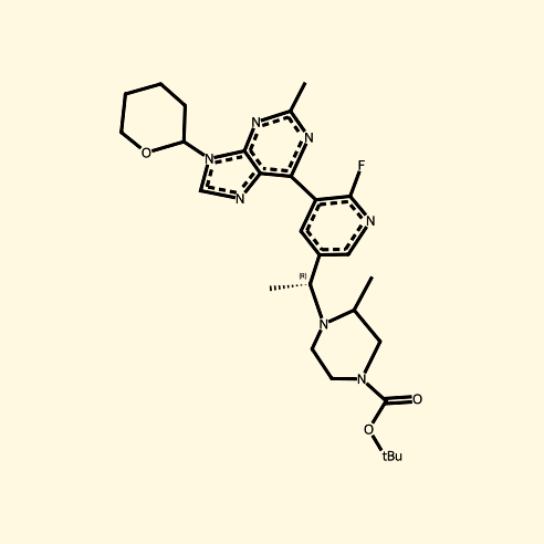 Cc1nc(-c2cc([C@@H](C)N3CCN(C(=O)OC(C)(C)C)CC3C)cnc2F)c2ncn(C3CCCCO3)c2n1